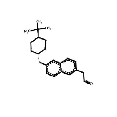 CC(C)(C)[C@H]1CC[C@H](Oc2ccc3cc(CC=O)ccc3c2)CC1